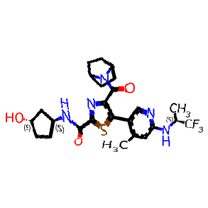 Cc1cc(N[C@@H](C)C(F)(F)F)ncc1-c1sc(C(=O)N[C@H]2CC[C@H](O)C2)nc1C(=O)N1C2CCC1CC2